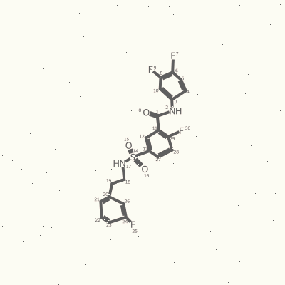 O=C(Nc1ccc(F)c(F)c1)c1cc(S(=O)(=O)NCCc2cccc(F)c2)ccc1F